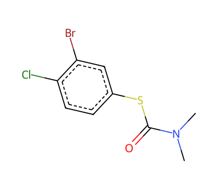 CN(C)C(=O)Sc1ccc(Cl)c(Br)c1